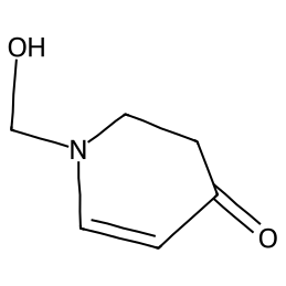 O=C1C=CN(CO)CC1